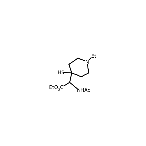 CCOC(=O)C(NC(C)=O)C1(S)CCN(CC)CC1